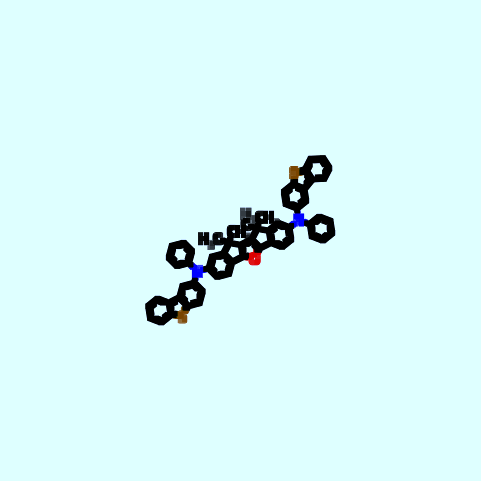 CC1(C)c2cc(N(c3ccccc3)c3ccc4sc5ccccc5c4c3)ccc2-c2oc3c(c21)C(C)(C)c1cc(N(c2ccccc2)c2ccc4sc5ccccc5c4c2)ccc1-3